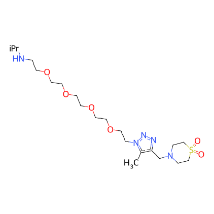 Cc1c(CN2CCS(=O)(=O)CC2)nnn1CCOCCOCCOCCOCCNC(C)C